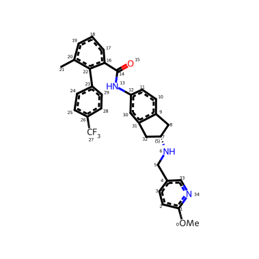 COc1ccc(CN[C@H]2Cc3ccc(NC(=O)c4cccc(C)c4-c4ccc(C(F)(F)F)cc4)cc3C2)cn1